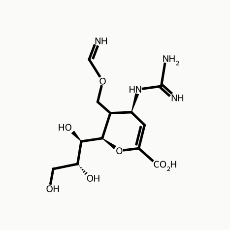 N=COCC1[C@@H](NC(=N)N)C=C(C(=O)O)O[C@H]1[C@H](O)[C@H](O)CO